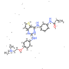 C=CC(=O)Nc1cccc(Nc2nc(Nc3ccc(OCCN(C)C)cc3)nc3ccsc23)c1